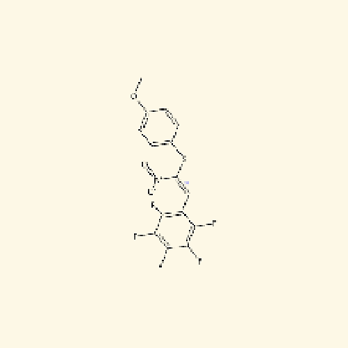 COc1ccc(S/C(=C/c2c(F)c(F)c(F)c(F)c2F)[N+](=O)[O-])cc1